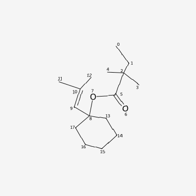 CCC(C)(C)C(=O)OC1(C=C(C)C)CCCCC1